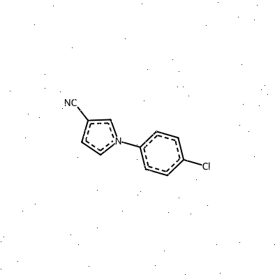 N#Cc1ccn(-c2ccc(Cl)cc2)c1